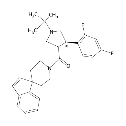 CC(C)(C)N1CC(C(=O)N2CCC3(C=Cc4ccccc43)CC2)[C@H](c2ccc(F)cc2F)C1